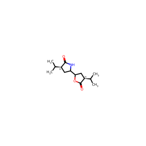 CC(C)[C@@H]1CC(C2C[C@@H](C(C)C)C(=O)O2)NC1=O